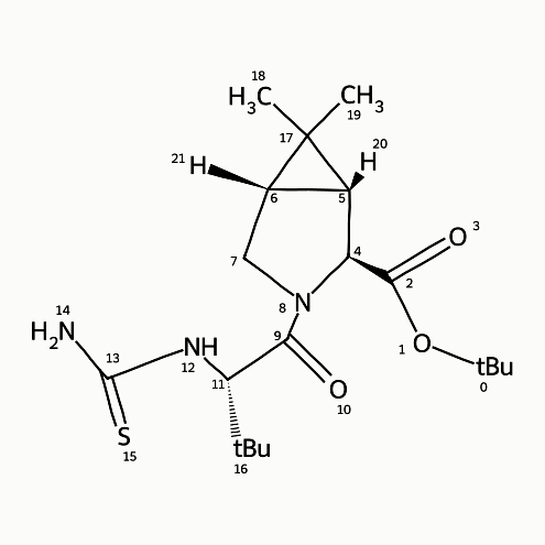 CC(C)(C)OC(=O)[C@@H]1[C@@H]2[C@H](CN1C(=O)[C@@H](NC(N)=S)C(C)(C)C)C2(C)C